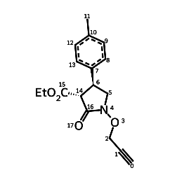 C#CCON1C[C@H](c2ccc(C)cc2)[C@@H](C(=O)OCC)C1=O